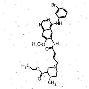 CCOC(=O)C1CN(CC=CC(=O)Nc2cc3c(Nc4cccc(Br)c4)ncnc3cc2OC)CCN1C